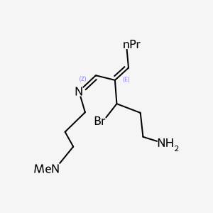 CCC/C=C(\C=N/CCCNC)C(Br)CCN